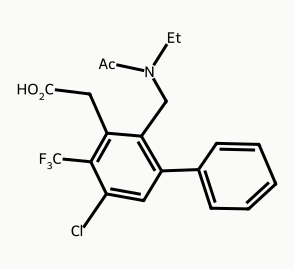 CCN(Cc1c(-c2ccccc2)cc(Cl)c(C(F)(F)F)c1CC(=O)O)C(C)=O